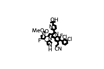 COC(=O)N1C[C@@H](F)C[C@@H]1c1cc2c(-c3ccc(C(C)(C)O)nc3)nc3c(F)c(-c4cccc(Cl)c4Cl)c(CCC#N)cc3c2n1[C@@H]1CNC[C@H]1C